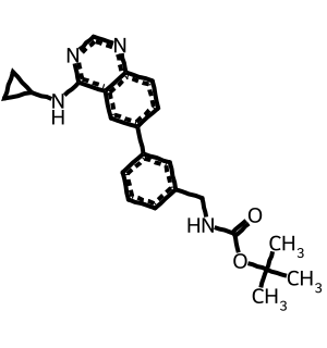 CC(C)(C)OC(=O)NCc1cccc(-c2ccc3ncnc(NC4CC4)c3c2)c1